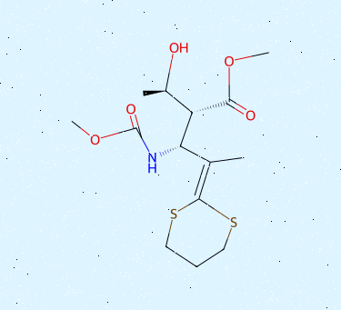 COC(=O)N[C@@H](C(C)=C1SCCCS1)[C@@H](C(=O)OC)[C@@H](C)O